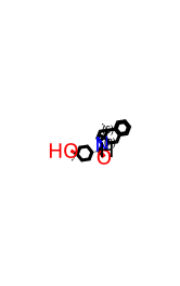 CC1(C)[C@H]2Cc3ccccc3[C@]1(C)CCN2C(=O)[C@H]1CC[C@](C)(O)CC1